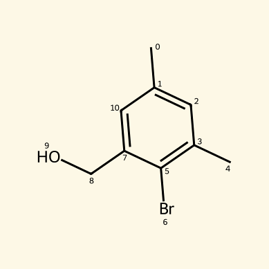 Cc1cc(C)c(Br)c(CO)c1